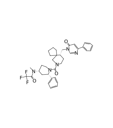 CN(C(=O)C(F)(F)F)[C@@H]1CCN(C(=O)N2CC[C@@H](Cn3cnc(-c4ccccc4)cc3=O)C3(CCCC3)C2)[C@H](c2ccccc2)C1